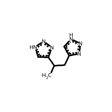 [CH2]C(Cc1c[nH]nn1)c1c[nH]nn1